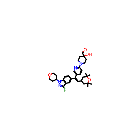 CC1(C)CC(C=C(c2ccc(N3CCC(O)(C=O)CC3)nc2)c2ccc3c(c2)c(F)nn3C2CCOCC2)CC(C)(C)O1